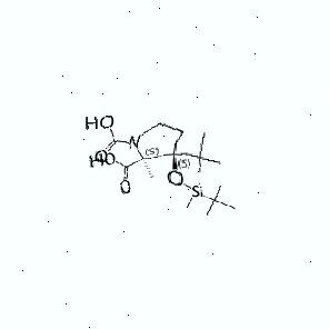 CC(C)(C)[C@@]1(O[Si](C)(C)C(C)(C)C)CCN(C(=O)O)[C@]1(C)C(=O)O